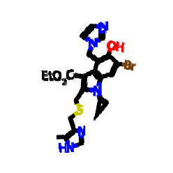 CCOC(=O)c1c(CSCc2nc[nH]c2C)n(C2CC2)c2cc(Br)c(O)c(Cn3ccnc3)c12